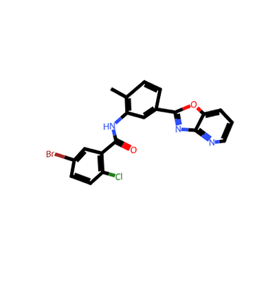 Cc1ccc(-c2nc3ncccc3o2)cc1NC(=O)c1cc(Br)ccc1Cl